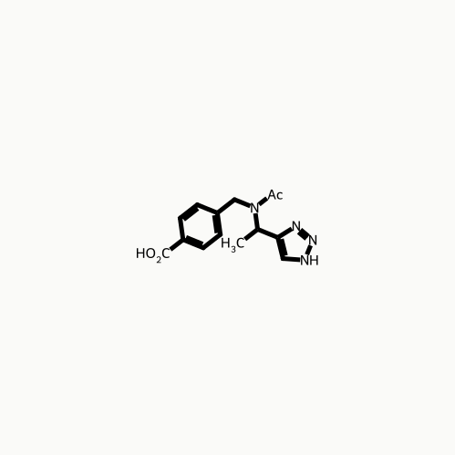 CC(=O)N(Cc1ccc(C(=O)O)cc1)C(C)c1c[nH]nn1